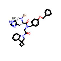 O=C(CN(Cc1ccc(OCc2ccccc2)cc1)C(=O)[C@H](Cc1c[nH]cn1)N(S)C(=O)O)NCC1(c2ccccc2)CCC1